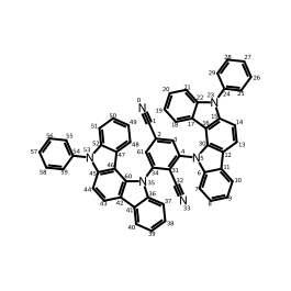 N#Cc1cc(-n2c3ccccc3c3ccc4c(c5ccccc5n4-c4ccccc4)c32)c(C#N)c(-n2c3ccccc3c3ccc4c(c5ccccc5n4-c4ccccc4)c32)c1